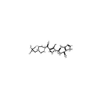 Cc1c(C(=O)N2CCN(CC(F)(F)F)CC2)cnn1-c1nc2cc[nH]c2c(=O)[nH]1